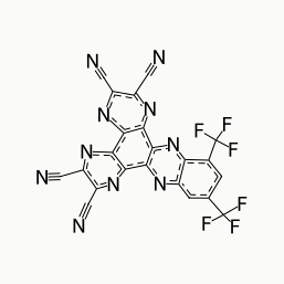 N#Cc1nc2c3nc(C#N)c(C#N)nc3c3nc4c(C(F)(F)F)cc(C(F)(F)F)cc4nc3c2nc1C#N